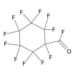 O=C(F)C1(F)C(F)(F)C(F)(F)C(F)(F)C(F)(F)C1(F)F